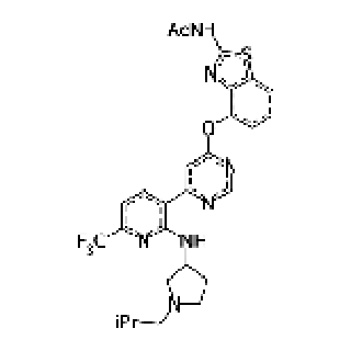 CC(=O)Nc1nc2c(Oc3cc(-c4ccc(C(F)(F)F)nc4NC4CCN(CC(C)C)C4)ncn3)cccc2s1